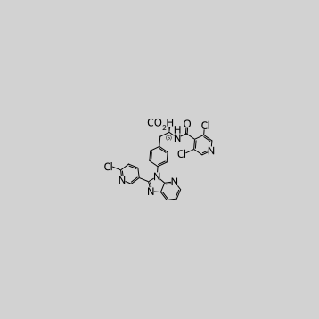 O=C(N[C@@H](Cc1ccc(-n2c(-c3ccc(Cl)nc3)nc3cccnc32)cc1)C(=O)O)c1c(Cl)cncc1Cl